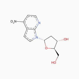 O=[N+]([O-])c1ccnc2c1ccn2[C@@H]1C[C@H](O)[C@@H](CO)O1